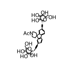 CC(=O)N1CCC2(CC1)c1cc(C#CC[C@H]3O[C@H](CO)[C@@H](O)[C@H](O)[C@@H]3O)ccc1-c1ccc(C#C[C@H]3O[C@H](CO)[C@@H](O)[C@H](O)[C@@H]3O)cc12